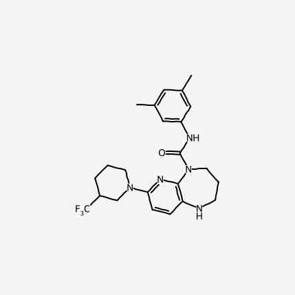 Cc1cc(C)cc(NC(=O)N2CCCNc3ccc(N4CCCC(C(F)(F)F)C4)nc32)c1